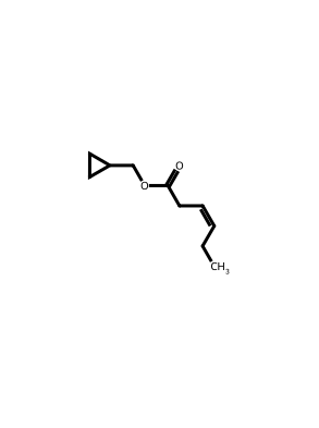 CC/C=C\CC(=O)OCC1CC1